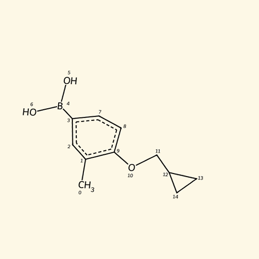 Cc1cc(B(O)O)ccc1OCC1CC1